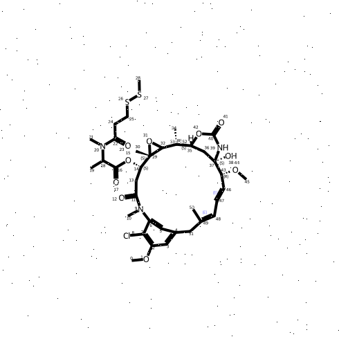 COc1cc2cc(c1Cl)N(C)C(=O)C[C@H](OC(=O)C(C)N(C)C(=O)CCSSC)[C@]1(C)OC1[C@H](C)[C@@H]1C[C@@](O)(NC(=O)O1)[C@H](OC)/C=C/C=C(\C)C2